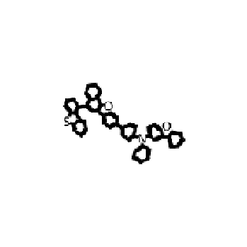 c1ccc(N(c2ccc(-c3ccc4c(c3)oc3c5ccccc5c(-c5cccc6sc7ccccc7c56)cc43)cc2)c2ccc3oc4ccccc4c3c2)cc1